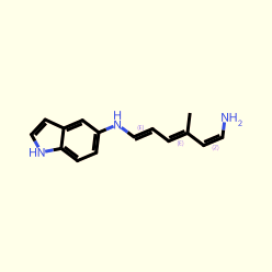 CC(/C=C\N)=C\C=C\Nc1ccc2[nH]ccc2c1